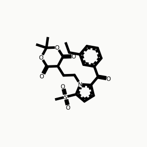 CCc1cccc(C(=O)c2ccc(S(C)(=O)=O)n2CCC2C(=O)OC(C)(C)OC2=O)c1